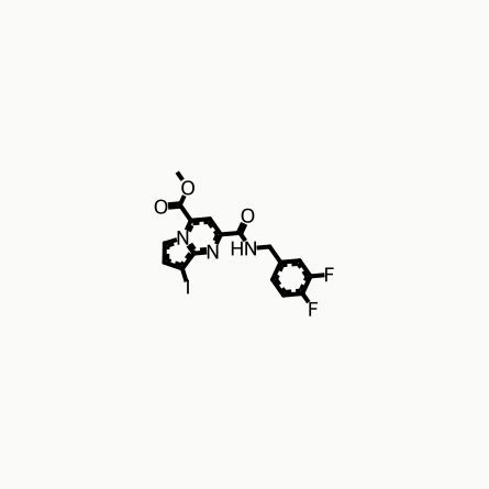 COC(=O)c1cc(C(=O)NCc2ccc(F)c(F)c2)nc2c(I)ccn12